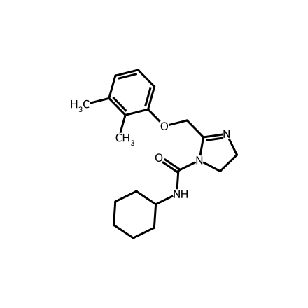 Cc1cccc(OCC2=NCCN2C(=O)NC2CCCCC2)c1C